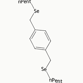 CCCCC[Se]Cc1ccc(C[Se]CCCCC)cc1